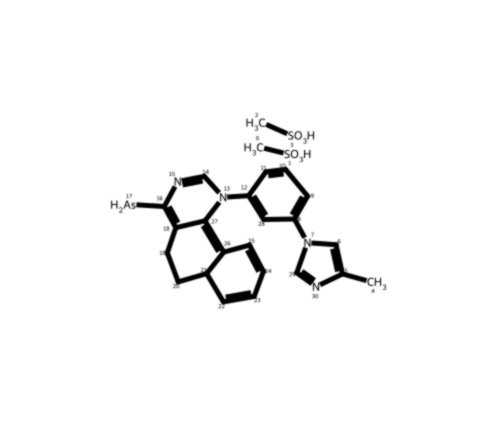 CS(=O)(=O)O.CS(=O)(=O)O.Cc1cn(-c2cccc(N3C=NC([AsH2])=C4CCC5C=CC=CC5=C43)c2)cn1